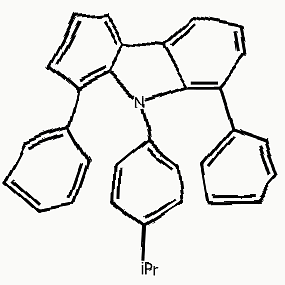 CC(C)c1ccc(-n2c3c(-c4ccccc4)cccc3c3cccc(-c4ccccc4)c32)cc1